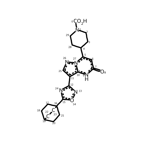 O=C(O)N1CCC(c2cc(=O)[nH]c3c(-c4noc(C56CCC(CC5)CC6)n4)cnn23)CC1